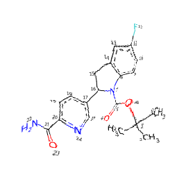 CC(C)(C)OC(=O)N1c2ccc(F)cc2CC1c1ccc(C(N)=O)nc1